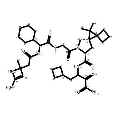 CC1(CC(=O)N[C@H](C(=O)NCC(=O)N2C[C@]3(C[C@H]2C(=O)NC(CC2CCC2)C(=O)C(N)=O)C(C)(C)C32CCC2)C2CCCCC2)N=C(N)N1